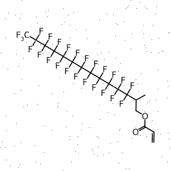 C=CC(=O)OCC(C)C(F)(F)C(F)(F)C(F)(F)C(F)(F)C(F)(F)C(F)(F)C(F)(F)C(F)(F)C(F)(F)C(F)(F)C(F)(F)C(F)(F)F